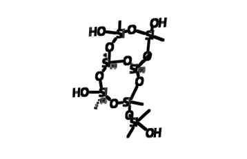 C[Si](C)(O)O[Si]1(C)O[Si@@](C)(O)O[Si@@]2(C)O[Si](C)(O)O[Si](C)(O)O[Si@](C)(O1)O2